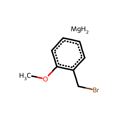 COc1ccccc1CBr.[MgH2]